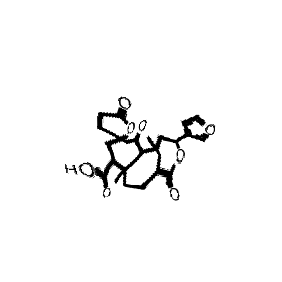 CC12CCC3C(=O)OC(c4ccoc4)CC3(C)C1C(=O)C1(CCC(=O)O1)CC2C(=O)O